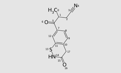 CC(CC#N)C(=O)c1ccc2c(c1)SNC(=O)C2